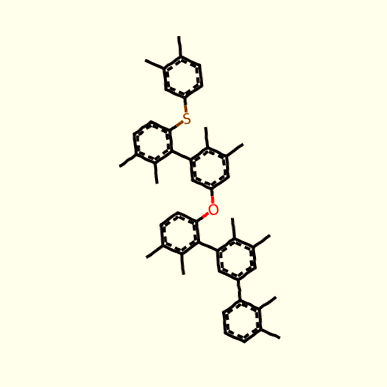 Cc1ccc(Sc2ccc(C)c(C)c2-c2cc(Oc3ccc(C)c(C)c3-c3cc(-c4cccc(C)c4C)cc(C)c3C)cc(C)c2C)cc1C